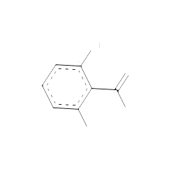 Cc1cccc(O)c1C(=O)Cl